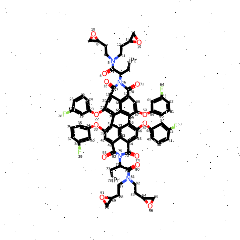 CC(C)CC(C(=O)N(CCC1CO1)CCC1CO1)N1C(=O)c2cc(Oc3cccc(F)c3)c3c4c(Oc5cccc(F)c5)cc5c6c(cc(Oc7cccc(F)c7)c(c7c(Oc8cccc(F)c8)cc(c2c37)C1=O)c64)C(=O)N(C(CC(C)C)C(=O)N(CCC1CO1)CCC1CO1)C5=O